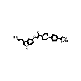 NCCc1c[nH]c2ccc(OCC(=O)N3CCN(c4ccc(-c5nn[nH]n5)cc4)CC3)cc12